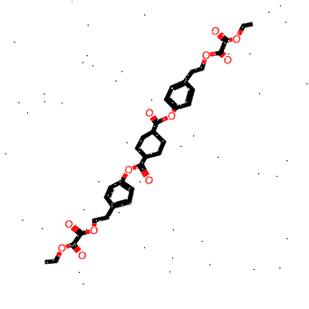 CCOC(=O)C(=O)OCCc1ccc(OC(=O)C2CCC(C(=O)Oc3ccc(CCOC(=O)C(=O)OCC)cc3)CC2)cc1